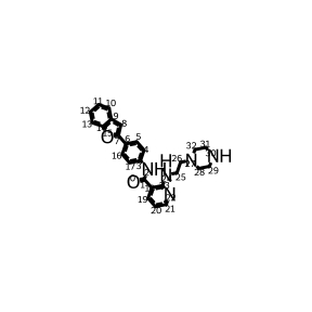 O=C(Nc1ccc(-c2cc3ccccc3o2)cc1)c1cccnc1NCCN1CCNCC1